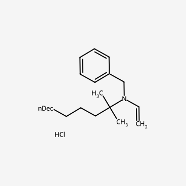 C=CN(Cc1ccccc1)C(C)(C)CCCCCCCCCCCCC.Cl